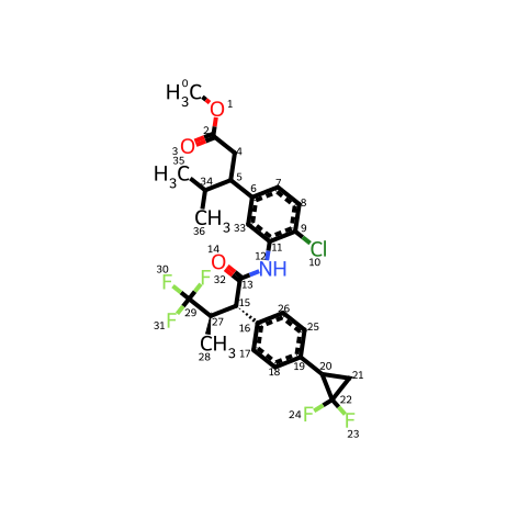 COC(=O)CC(c1ccc(Cl)c(NC(=O)[C@H](c2ccc(C3CC3(F)F)cc2)[C@@H](C)C(F)(F)F)c1)C(C)C